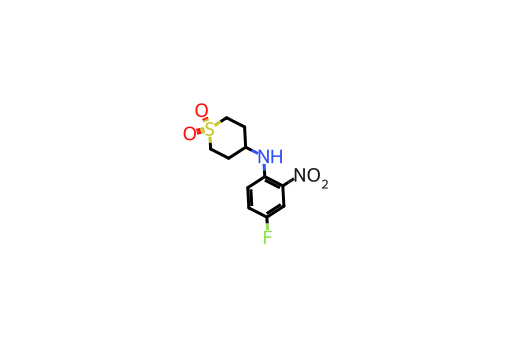 O=[N+]([O-])c1cc(F)ccc1NC1CCS(=O)(=O)CC1